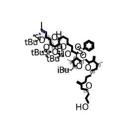 C=C1C[C@H](CCCO)OC1CC[C@H]1C[C@@H](C)C(=C)C(C[C@@H]2O[C@H](C[C@H](C)CC)[C@H](C)[C@H]2C(C(O)CC2CC[C@@H]3O[C@@H]([C@H](/C=C/I)O[Si](C)(C)C(C)(C)C)[C@@H](O[Si](C)(C)C(C)(C)C)[C@@H](O[Si](C)(C)C(C)(C)C)[C@H]3O2)S(=O)(=O)c2ccccc2)O1